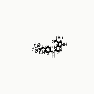 CN(C)S(=O)(=O)/C(C#N)=C/c1ccc(Nc2cnc3[nH]cc(C(=O)C(C)(C)C)c3n2)cc1